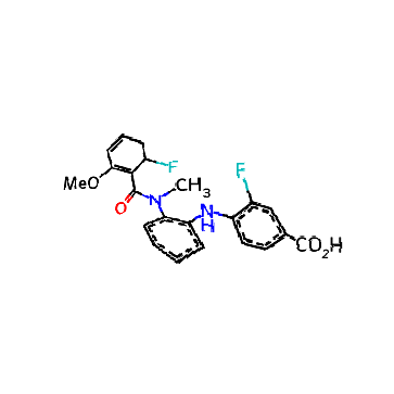 COC1=C(C(=O)N(C)c2ccccc2Nc2ccc(C(=O)O)cc2F)C(F)CC=C1